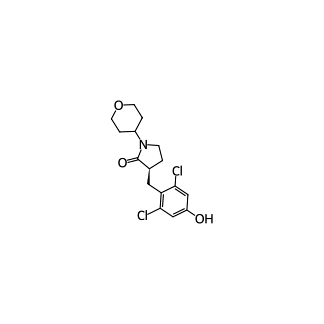 O=C1[C@H](Cc2c(Cl)cc(O)cc2Cl)CCN1C1CCOCC1